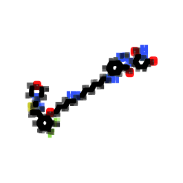 O=C1CCC(n2nnc3ccc(NCCCCCCNCCCCCOc4c(-c5csc(N6CCOCC6)n5)ccc(F)c4F)cc3c2=O)C(=O)N1